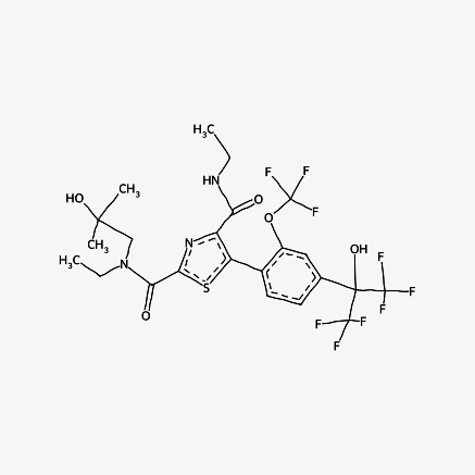 CCNC(=O)c1nc(C(=O)N(CC)CC(C)(C)O)sc1-c1ccc(C(O)(C(F)(F)F)C(F)(F)F)cc1OC(F)(F)F